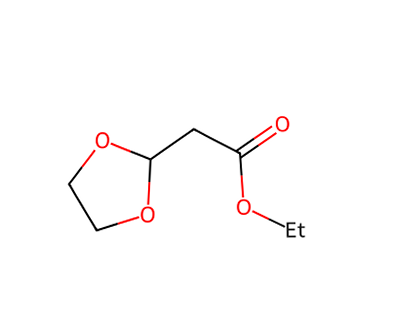 CCOC(=O)CC1OCCO1